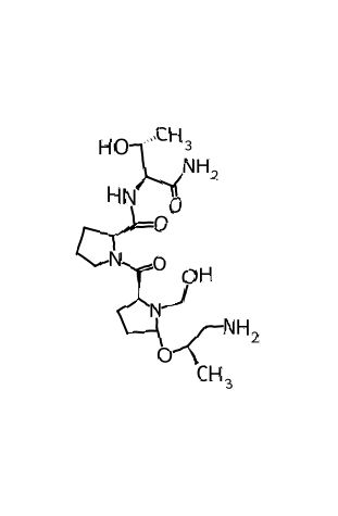 C[C@H](CN)OC1CC[C@@H](C(=O)N2CCC[C@H]2C(=O)N[C@H](C(N)=O)[C@@H](C)O)N1CO